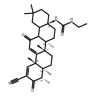 CCNC(=O)N[C@]12CCC(C)(C)CC1C1C(=O)C=C3[C@@]4(C)C=C(C#N)C(=O)[C@@H](C)[C@@H]4CC[C@@]3(C)[C@]1(C)CC2